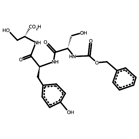 O=C(N[C@@H](CO)C(=O)N[C@@H](Cc1ccc(O)cc1)C(=O)N[C@H](CO)C(=O)O)OCc1ccccc1